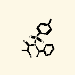 Cc1ccc(S(=O)(=O)N(C(=O)C(C)Br)C(C)c2ccccc2)cc1